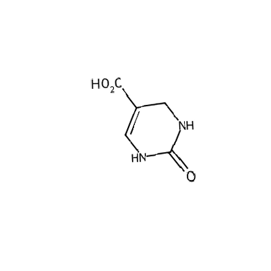 O=C1NC=C(C(=O)O)CN1